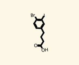 O=C(O)CCCc1ccc(Br)c(I)c1